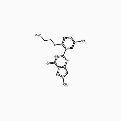 COCCOc1ncc([N+](=O)[O-])cc1-c1nc2cn(C)nc2c(=O)[nH]1